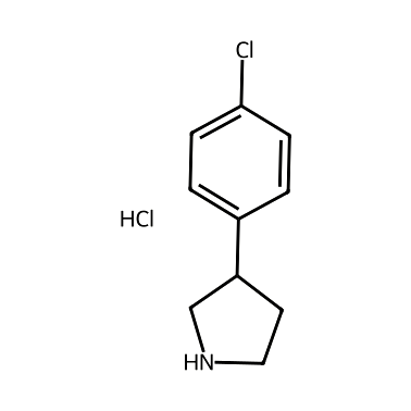 Cl.Clc1ccc(C2CCNC2)cc1